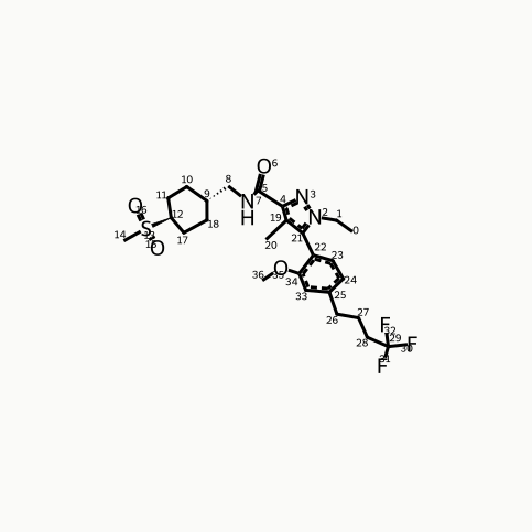 CCn1nc(C(=O)NC[C@H]2CC[C@H](S(C)(=O)=O)CC2)c(C)c1-c1ccc(CCCC(F)(F)F)cc1OC